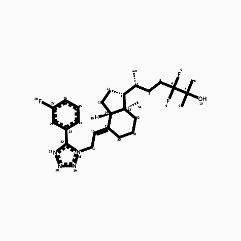 C[C@H](CCC(F)(F)C(C)(C)O)[C@H]1CC[C@H]2/C(=C/Cn3nnnc3-c3cccc(F)c3)CCC[C@]12C